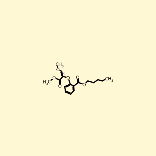 CCCCCOC(=O)c1ccccc1O/C(=C/OC)C(=O)OC